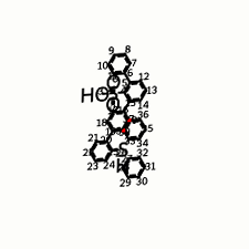 O=S(=O)(O)c1c(-c2ccccc2)cccc1-c1ccc(-c2ccccc2[SH](c2ccccc2)c2ccccc2)cc1